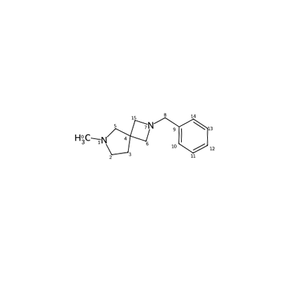 CN1CCC2(C1)CN(Cc1ccccc1)C2